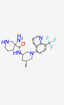 C[C@H]1C[C@@H](NC(=O)C2(N)CCCNC2)CN(c2ccc(C(F)(F)F)c3ncccc23)C1